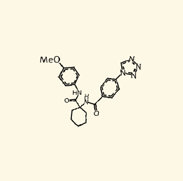 COc1ccc(NC(=O)C2(NC(=O)c3ccc(-n4cnnn4)cc3)CCCCC2)cc1